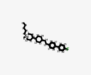 CCCCC[Si]1(C)CCC(C2CCC(CCc3ccc(-c4ccc(F)cc4)cc3)CC2)CC1